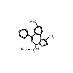 CC(=O)O.CSc1ccc2c(c1)C(c1ccccc1)=NC(O)c1ncc(C)n1-2